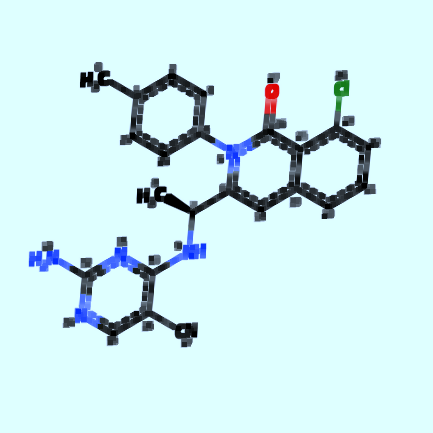 Cc1ccc(-n2c([C@H](C)Nc3nc(N)ncc3C#N)cc3cccc(Cl)c3c2=O)cc1